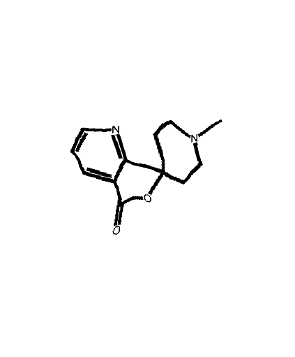 CN1CCC2(CC1)OC(=O)c1cccnc12